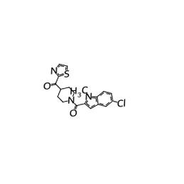 Cn1c(C(=O)N2CCC(C(=O)c3nccs3)CC2)cc2cc(Cl)ccc21